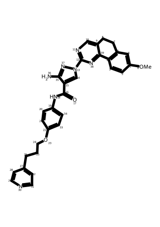 COc1ccc2c(c1)CCc1cnc(-n3cc(C(=O)Nc4ccc(OCCCc5ccncc5)cc4)c(N)n3)nc1-2